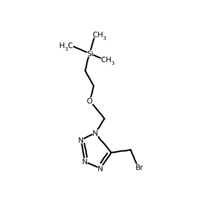 C[Si](C)(C)CCOCn1nnnc1CBr